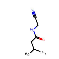 CC(C)CC(=O)NCC#N